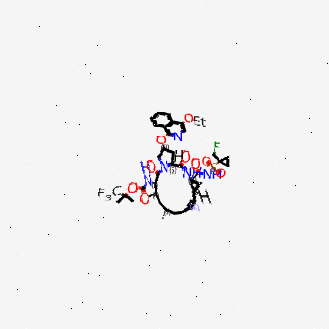 CCOc1cnc(O[C@@H]2C[C@H]3C(=O)N[C@]4(C(=O)NS(=O)(=O)C5(CF)CC5)C[C@H]4/C=C\CC[C@H](C)C[C@@H](C)[C@H](NC(=O)OC(C)(C)C(F)(F)F)C(=O)N3C2)c2ccccc12